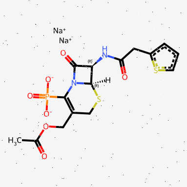 CC(=O)OCC1=C(P(=O)([O-])[O-])N2C(=O)[C@@H](NC(=O)Cc3cccs3)[C@H]2SC1.[Na+].[Na+]